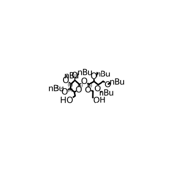 CCCCOCC(OCCCC)C(OCCCC)[C@@H](OCCO)O[C@@H]1OC(CO)[C@@H](OCCCC)[C@@H](OCCCC)C1OCCCC